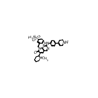 CN1CCCCC1c1cc2cnc(Nc3ccc(C4=CCNCC4)cc3)nc2n(Cc2cccc(S(C)(=O)=O)c2)c1=O